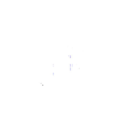 CC(=O)N[C@@H]1CCN(c2cc3c(NC(C)c4cccc(OC(F)F)c4)nc(C)nc3cn2)C1